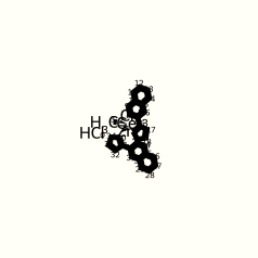 Cl.[CH3][Ge]([CH3])=[Zr]([C]1=C(c2ccc3ccccc3c2)C=CC1)[C]1=C(c2ccc3ccccc3c2)C=CC1